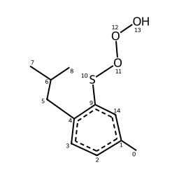 Cc1ccc(CC(C)C)c(SOOO)c1